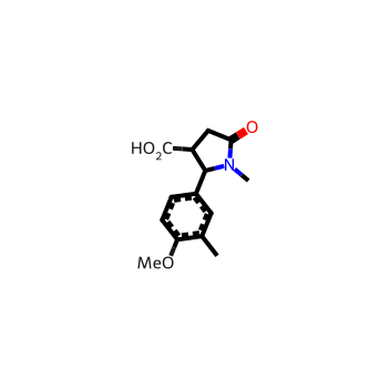 COc1ccc(C2C(C(=O)O)CC(=O)N2C)cc1C